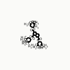 CC1(C)CCC(OC(=O)c2cc(C(=O)OC3CCC(C)(C)N(O)C(C)(C)C3)c3cc(C(=O)OC4CCC(C)(C)N(O)C(C)(C)C4)ccc3c2)CC(C)(C)N1O